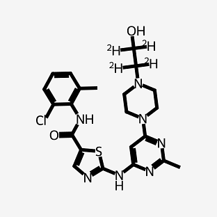 [2H]C([2H])(O)C([2H])([2H])N1CCN(c2cc(Nc3ncc(C(=O)Nc4c(C)cccc4Cl)s3)nc(C)n2)CC1